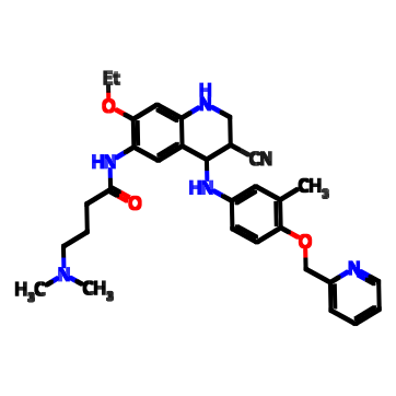 CCOc1cc2c(cc1NC(=O)CCCN(C)C)C(Nc1ccc(OCc3ccccn3)c(C)c1)C(C#N)CN2